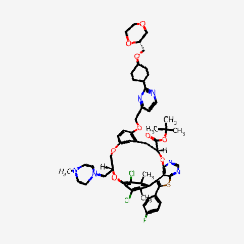 Cc1c(Cl)c2c(Cl)c(C)c1-c1c(-c3ccc(F)cc3)sc3ncnc(c13)O[C@@H](C(=O)OC(C)(C)C)Cc1cc(ccc1OCc1ccnc(C3CCC(OC[C@H]4COCCO4)CC3)n1)OC[C@@H](CN1CCN(C)CC1)O2